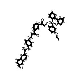 CCOc1ccc(OCC(=O)c2cccc(C(=O)CCOc3ccc(NC(=O)c4ccc5cc(O)ccc5c4)cc3)c2)c(P2(=O)Oc3ccccc3-c3ccccc32)c1